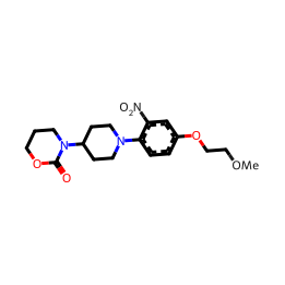 COCCOc1ccc(N2CCC(N3CCCOC3=O)CC2)c([N+](=O)[O-])c1